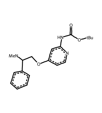 CNC(COc1ccnc(NC(=O)OC(C)(C)C)c1)c1ccccc1